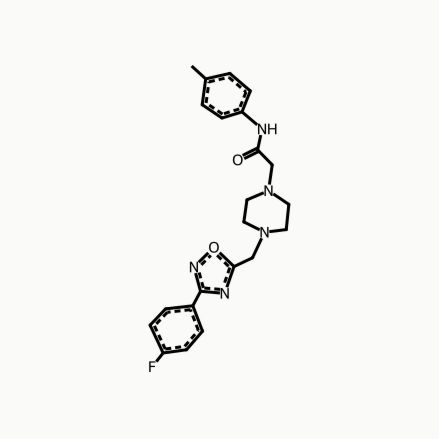 Cc1ccc(NC(=O)CN2CCN(Cc3nc(-c4ccc(F)cc4)no3)CC2)cc1